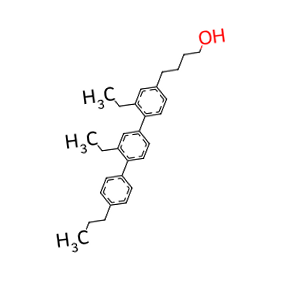 CCCc1ccc(-c2ccc(-c3ccc(CCCCO)cc3CC)cc2CC)cc1